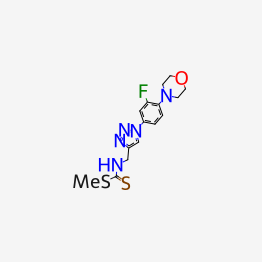 CSC(=S)NCc1cn(-c2ccc(N3CCOCC3)c(F)c2)nn1